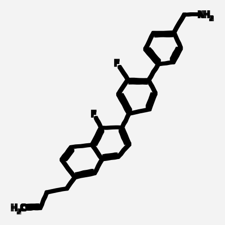 C=CCCc1ccc2c(F)c(-c3ccc(-c4ccc(CN)cc4)c(F)c3)ccc2c1